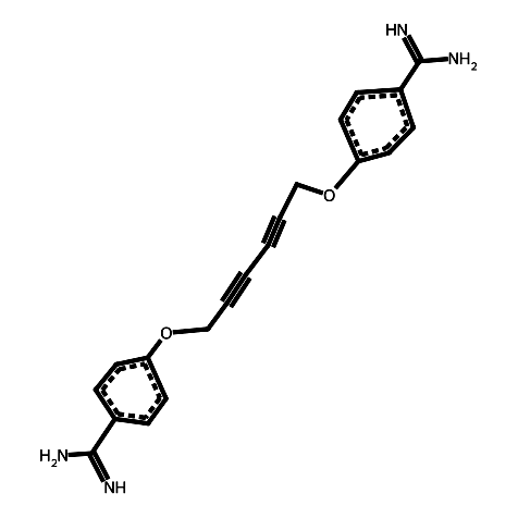 N=C(N)c1ccc(OCC#CC#CCOc2ccc(C(=N)N)cc2)cc1